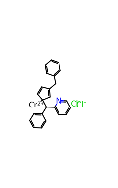 [Cl-].[Cl-].[Cr+2][C]1(C(c2ccccc2)c2ccccn2)C=CC(Cc2ccccc2)=C1